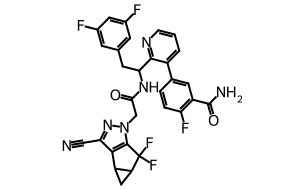 N#Cc1nn(CC(=O)NC(Cc2cc(F)cc(F)c2)c2ncccc2-c2ccc(F)c(C(N)=O)c2)c2c1C1CC1C2(F)F